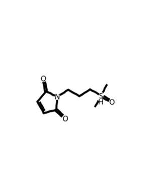 C[SH](C)(=O)CCCN1C(=O)C=CC1=O